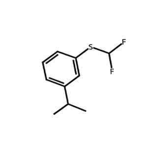 CC(C)c1cccc(SC(F)F)c1